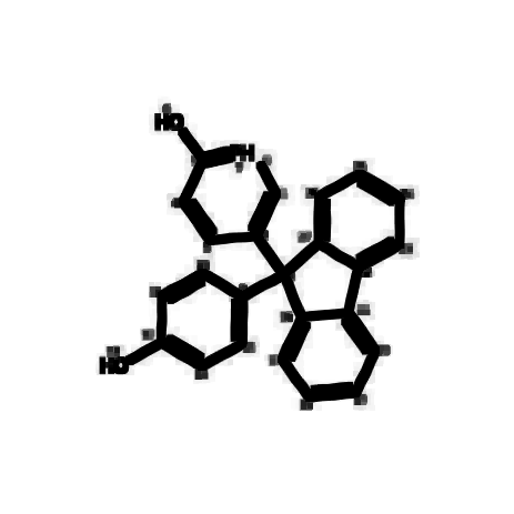 C/C=C(\C=C/C(O)=P)C1(c2ccc(O)cc2)c2ccccc2-c2ccccc21